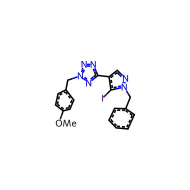 COc1ccc(Cn2nnc(-c3cnn(Cc4ccccc4)c3I)n2)cc1